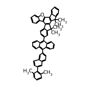 Cc1cccc(C)c1-c1ccc2cc(-c3c4ccccc4c(-c4ccc5c(c4)C(C)(C)c4c6c(c7oc8ccccc8c7c4-5)-c4ccccc4C6(C)C)c4ccccc34)ccc2c1